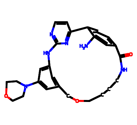 Nc1cc2ccc1-c1ccnc(n1)Nc1cc(cc(N3CCOCC3)c1)COCCCCNC2=O